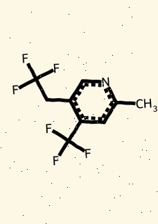 Cc1cc(C(F)(F)F)c(CC(F)(F)F)cn1